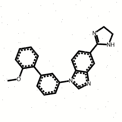 COc1ccccc1-c1cccc(-n2cnc3cc(C4=NCCN4)ccc32)c1